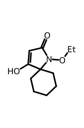 CCON1C(=O)C=C(O)C12CCCCC2